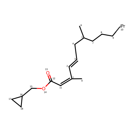 CC(C=CCC(C)CCCC(C)C)=CC(=O)OCC1CC1